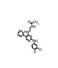 CC(=O)NCCNc1nc(Nc2ccc(F)c(Cl)c2)ncc1-c1cncnc1